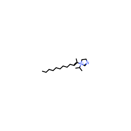 CCCCCCCCCC=C(C)[N+]1(C(C)C)C=NCC1